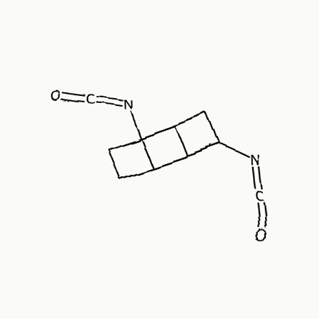 O=C=NC12C3C4C1C1C2C3C41N=C=O